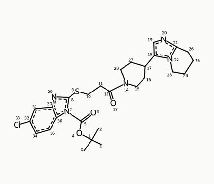 CC(C)(C)OC(=O)n1c(SCCC(=O)N2CCC(c3cnc4n3CCCC4)CC2)nc2cc(Cl)ccc21